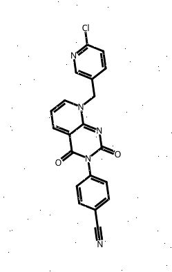 N#Cc1ccc(-n2c(=O)nc3n(Cc4ccc(Cl)nc4)cccc-3c2=O)cc1